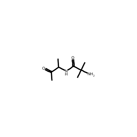 CC(=O)C(C)NC(=O)C(C)(C)N